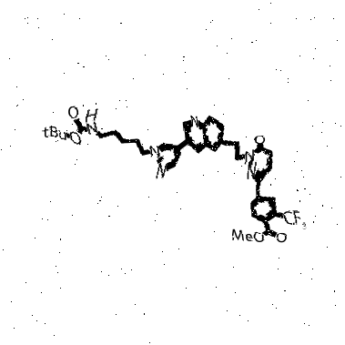 COC(=O)c1ccc(-c2ccc(=O)n(CCc3ccc4ncc(-c5cnn(CCCCCNC(=O)OC(C)(C)C)c5)cc4c3)n2)cc1C(F)(F)F